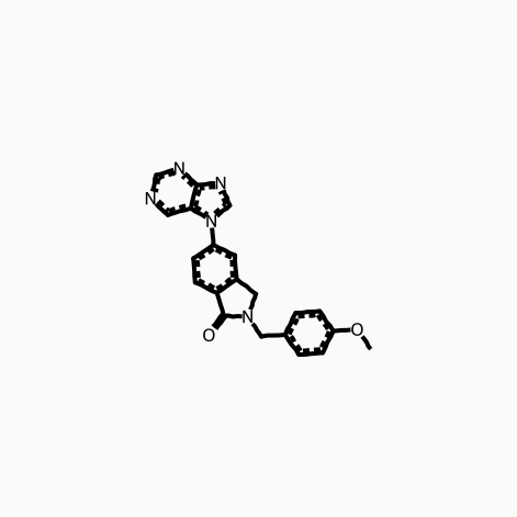 COc1ccc(CN2Cc3cc(-n4cnc5ncncc54)ccc3C2=O)cc1